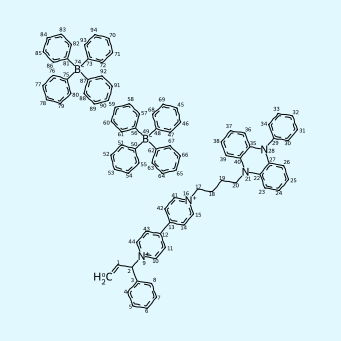 C=CC(c1ccccc1)[n+]1ccc(-c2cc[n+](CCCCN3c4ccccc4N(c4ccccc4)c4ccccc43)cc2)cc1.c1ccc([B-](c2ccccc2)(c2ccccc2)c2ccccc2)cc1.c1ccc([B-](c2ccccc2)(c2ccccc2)c2ccccc2)cc1